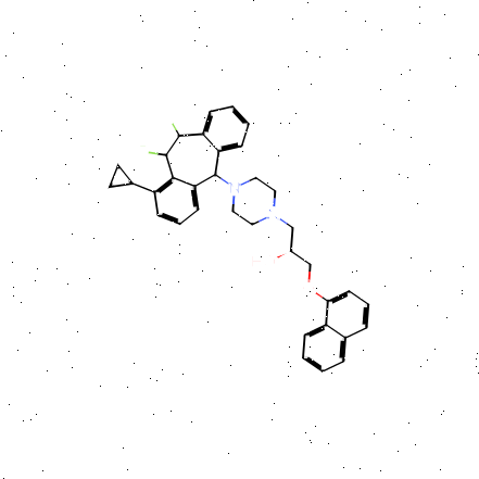 O[C@H](COc1cccc2ccccc12)CN1CCN(C2c3ccccc3C(F)C(F)c3c(C4CC4)cccc32)CC1